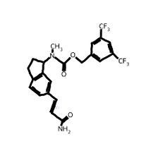 CN(C(=O)OCc1cc(C(F)(F)F)cc(C(F)(F)F)c1)C1CCc2ccc(/C=C/C(N)=O)cc21